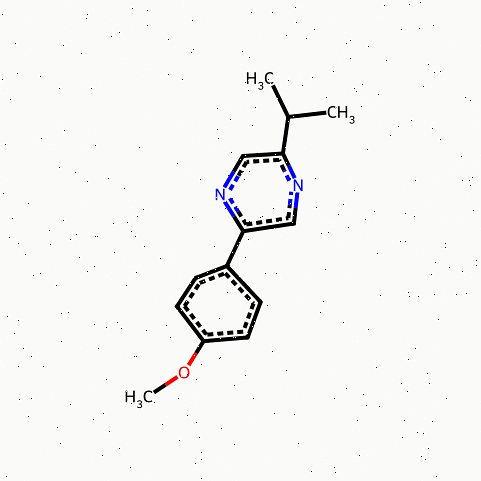 COc1ccc(-c2cnc(C(C)C)cn2)cc1